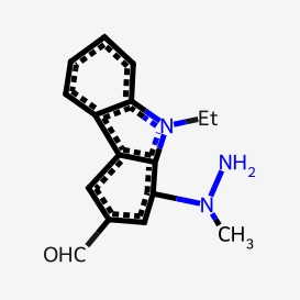 CCn1c2ccccc2c2cc(C=O)cc(N(C)N)c21